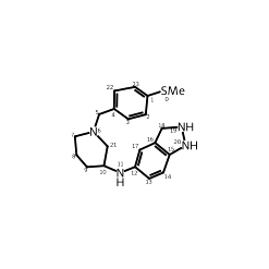 CSc1ccc(CN2CCCC(Nc3ccc4c(c3)CNN4)C2)cc1